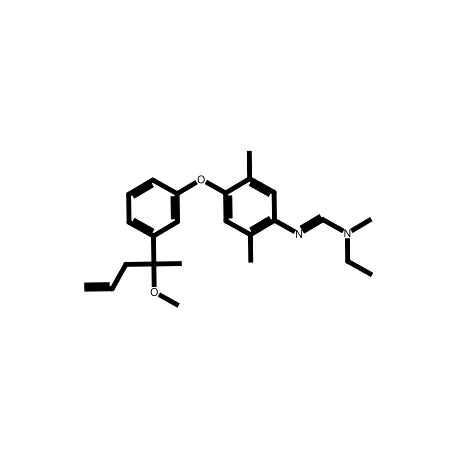 C=CCC(C)(OC)c1cccc(Oc2cc(C)c(/N=C/N(C)CC)cc2C)c1